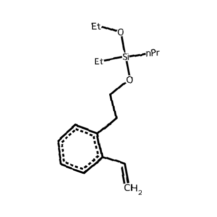 C=Cc1ccccc1CCO[Si](CC)(CCC)OCC